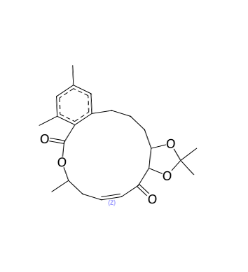 Cc1cc(C)c2c(c1)CCCC1OC(C)(C)OC1C(=O)/C=C\CC(C)OC2=O